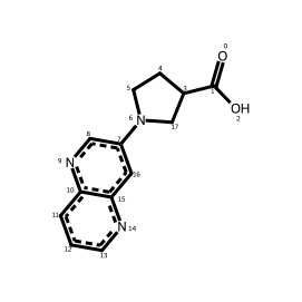 O=C(O)C1CCN(c2cnc3cccnc3c2)C1